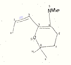 C/C=C\C1=C(NC)CCC(C)(C)O1